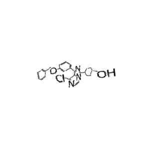 OCC1CCC(c2nc(-c3cccc(OCc4ccccc4)c3)c3c(Cl)nccn23)CC1